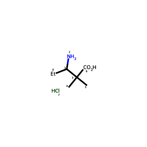 CCC(N)C(C)(C)C(=O)O.Cl